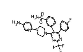 Nc1ccc(N2CCN(c3nc(C(F)(F)F)nc(-c4ccc(F)cc4)c3-c3cccc(S(N)(=O)=O)c3)CC2)nc1